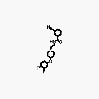 N#Cc1cccc(C(=O)NCCN2CCC(Oc3ccc(F)c(F)c3)CC2)c1